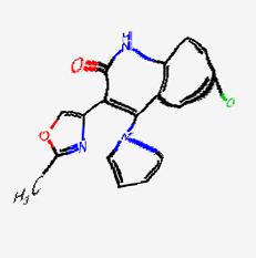 Cc1nc(-c2c(-n3cccc3)c3cc(Cl)ccc3[nH]c2=O)co1